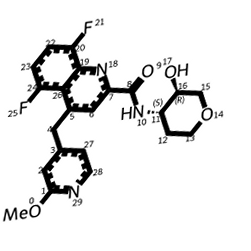 COc1cc(Cc2cc(C(=O)N[C@H]3CCOC[C@@H]3O)nc3c(F)ccc(F)c23)ccn1